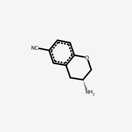 N#Cc1ccc2c(c1)C[C@@H](N)CO2